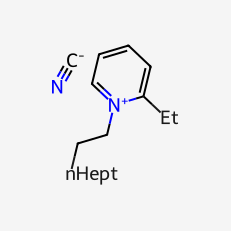 CCCCCCCCC[n+]1ccccc1CC.[C-]#N